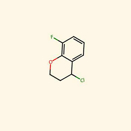 Fc1cccc2c1OCCC2Cl